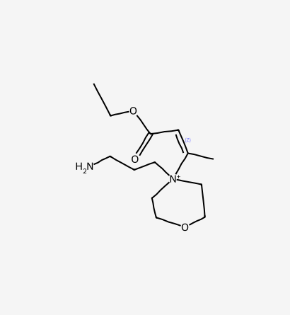 CCOC(=O)/C=C(/C)[N+]1(CCCN)CCOCC1